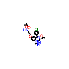 CC(=O)C[C@@H]1N=C(c2ccc(Cl)cc2)c2cc(OCCCNC(=O)OC(C)(C)C)ccc2-n2c(C)nnc21